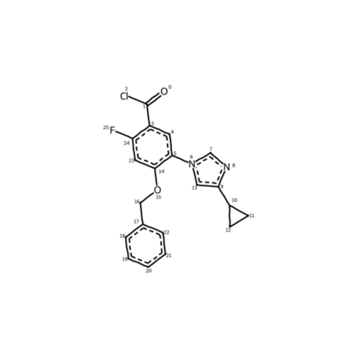 O=C(Cl)c1cc(-n2cnc(C3CC3)c2)c(OCc2ccccc2)cc1F